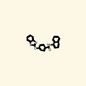 O=C(Nc1cccc2ccccc12)c1ccc(Oc2nc3ccccc3s2)cc1